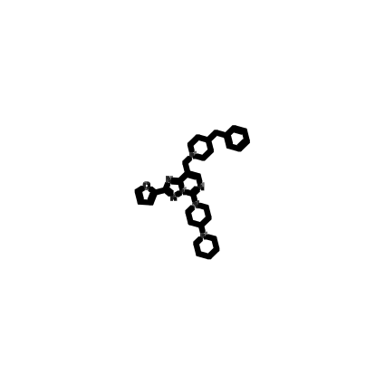 c1ccc(CC2CCN(Cc3cnc(N4CCC(N5CCCCC5)CC4)n4nc(-c5ccco5)nc34)CC2)cc1